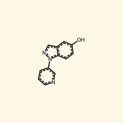 Oc1ccc2c(cnn2-c2cccnc2)c1